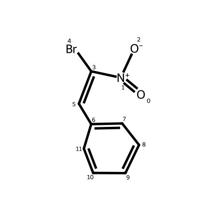 O=[N+]([O-])/C(Br)=C\c1ccccc1